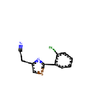 N#CCc1csc(-c2ccccc2Br)n1